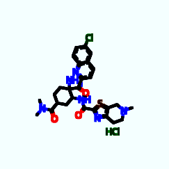 CN1CCc2nc(C(=O)NC3CC(C(=O)N(C)C)CCC3(N)C(=O)c3ccc4cc(Cl)ccc4n3)sc2C1.Cl